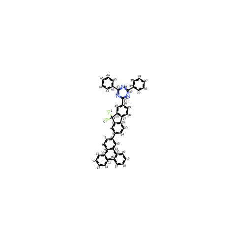 FC1(F)c2cc(-c3ccc4c5ccccc5c5ccccc5c4c3)ccc2-c2ccc(-c3nc(-c4ccccc4)nc(-c4ccccc4)n3)cc21